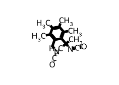 Cc1c(C)c(C)c(C(C)(C)N=C=O)c(CN=C=O)c1C